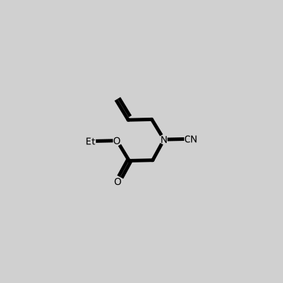 C=CCN(C#N)CC(=O)OCC